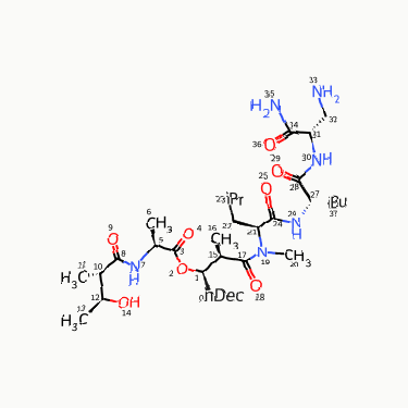 CCCCCCCCCC[C@@H](OC(=O)[C@H](C)NC(=O)[C@@H](C)[C@H](C)O)[C@@H](C)C(=O)N(C)[C@@H](CC(C)C)C(=O)N[C@H](C(=O)N[C@@H](CN)C(N)=O)[C@H](C)CC